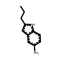 CCCc1cc2cc(N)ccc2[nH]1